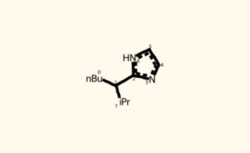 CCCCC(c1ncc[nH]1)C(C)C